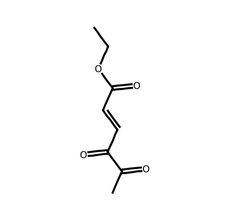 CCOC(=O)C=CC(=O)C(C)=O